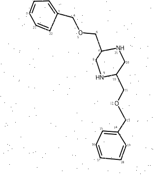 c1ccc(COCC2CNC(COCc3ccccc3)CN2)cc1